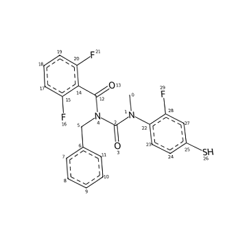 CN(C(=O)N(Cc1ccccc1)C(=O)c1c(F)cccc1F)c1ccc(S)cc1F